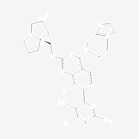 Nc1cc(Cl)c(C(F)(F)F)c(-c2ncc3c(N4CCn5ccnc5C4)nc(OC[C@@]45CCCN4C[C@H](F)C5)nc3c2F)n1